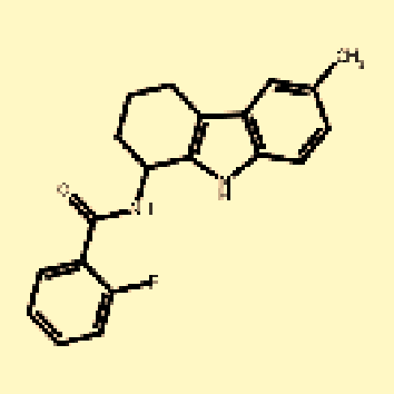 Cc1ccc2[nH]c3c(c2c1)CCCC3NC(=O)c1ccccc1F